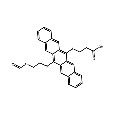 O=COCCSc1c2cc3ccccc3cc2c(SCCC(=O)O)c2cc3ccccc3cc12